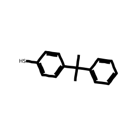 CC(C)(c1ccccc1)c1ccc(S)cc1